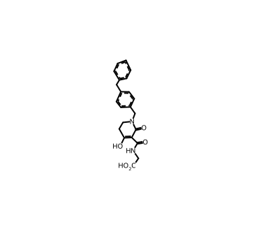 O=C(O)CNC(=O)C1=C(O)CCN(Cc2ccc(Cc3ccccc3)cc2)C1=O